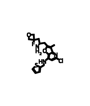 Cc1c(CC(N)CC2(F)COC2)oc2c(NCc3cccs3)cc(Cl)nc12